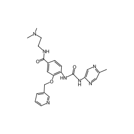 Cc1cnc(NC(=O)Nc2ccc(C(=O)NCCN(C)C)cc2OCc2cccnc2)cn1